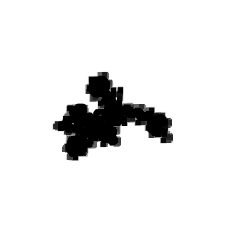 CC(C)C[C@H](NC(=O)[C@H](CCc1ccccc1)NC(=O)CCCCCN1CCN(C)CC1)C(=O)N[C@@H](Cc1ccccc1)C(=O)N[C@@H](CC(C)C)C(=O)[C@@]1(C)CO1